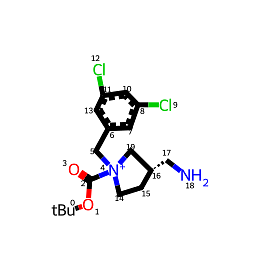 CC(C)(C)OC(=O)[N+]1(Cc2cc(Cl)cc(Cl)c2)CC[C@@H](CN)C1